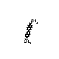 CCOc1ccc2c(c1)CCC(C1CCC3CC(OCC)CCC3C1)C2